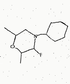 CC1CN(C2CCCCC2)C(F)C(C)O1